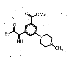 CCC(=O)C(=N)c1cc(C(=O)OC)cc(N2CCN(C)CC2)c1